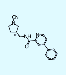 N#CN1CC[C@H](CNC(=O)c2cc(-c3ccccc3)ccn2)C1